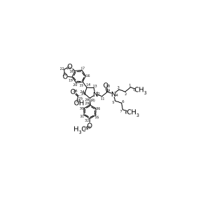 CCCCN(CCCC)C(=O)CN1CC(c2ccc3c(c2)OCO3)[C@@H](C(=O)O)[C@@H]1c1ccc(OC)cc1